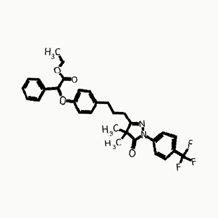 CCOC(=O)C(Oc1ccc(CCCC2=NN(c3ccc(C(F)(F)F)cc3)C(=O)C2(C)C)cc1)c1ccccc1